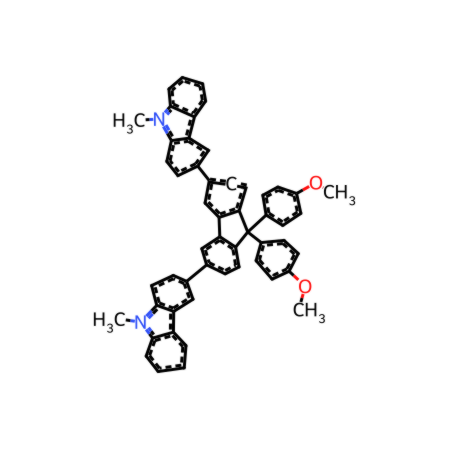 COc1ccc(C2(c3ccc(OC)cc3)c3ccc(-c4ccc5c(c4)c4ccccc4n5C)cc3-c3cc(-c4ccc5c(c4)c4ccccc4n5C)ccc32)cc1